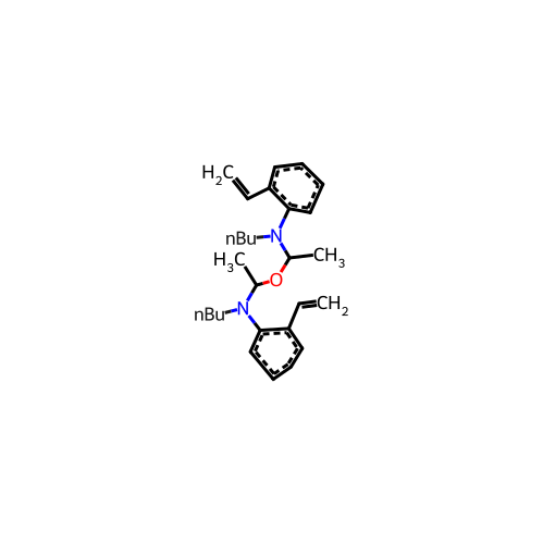 C=Cc1ccccc1N(CCCC)C(C)OC(C)N(CCCC)c1ccccc1C=C